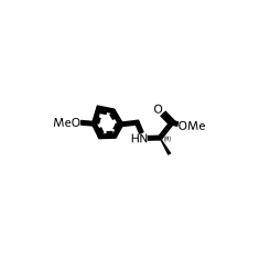 COC(=O)[C@@H](C)NCc1ccc(OC)cc1